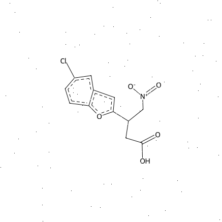 O=C(O)CC(C[N+](=O)[O-])c1cc2cc(Cl)ccc2o1